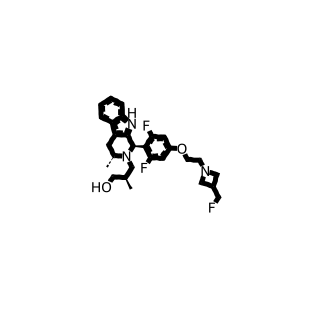 C[C@@H](CO)CN1[C@H](c2c(F)cc(OCCN3CC(CF)C3)cc2F)c2[nH]c3ccccc3c2C[C@H]1C